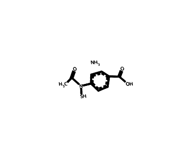 CC(=O)N(S)c1ccc(C(=O)O)cc1.N